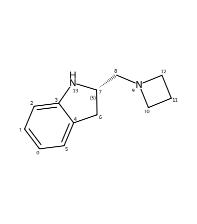 c1ccc2c(c1)C[C@@H](CN1CCC1)N2